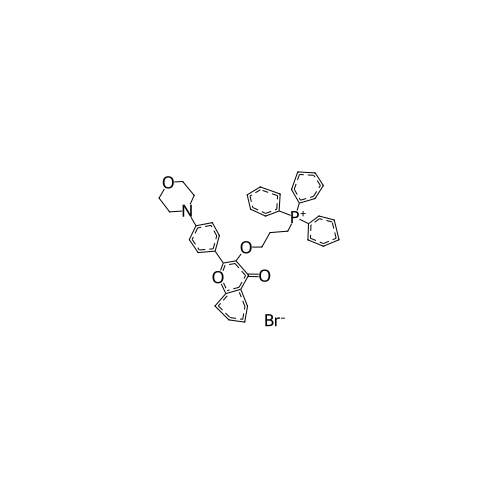 O=c1c(OCCC[P+](c2ccccc2)(c2ccccc2)c2ccccc2)c(-c2ccc(N3CCOCC3)cc2)oc2ccccc12.[Br-]